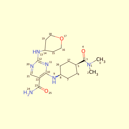 CN(C)C(=O)[C@H]1CC[C@@H](Nc2nc(NC3CCOCC3)ncc2C(N)=O)CC1